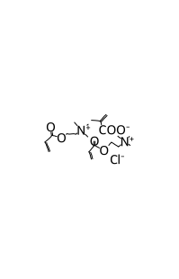 C=C(C)C(=O)[O-].C=CC(=O)OCC[N+](C)(C)C.C=CC(=O)OCC[N+](C)(C)C.[Cl-]